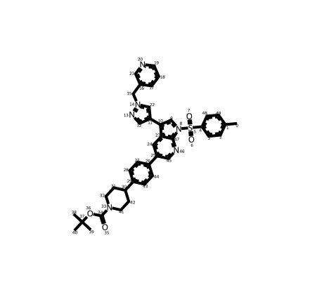 Cc1ccc(S(=O)(=O)n2cc(-c3cnn(Cc4cccnc4)c3)c3cc(-c4ccc(C5CCN(C(=O)OC(C)(C)C)CC5)cc4)cnc32)cc1